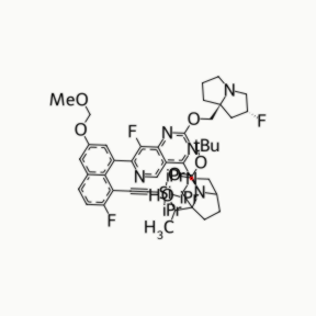 COCOc1cc(-c2ncc3c(N4CC5CCC(C(C)O)(C4)N5C(=O)OC(C)(C)C)nc(OC[C@@]45CCCN4C[C@H](F)C5)nc3c2F)c2c(C#C[Si](C(C)C)(C(C)C)C(C)C)c(F)ccc2c1